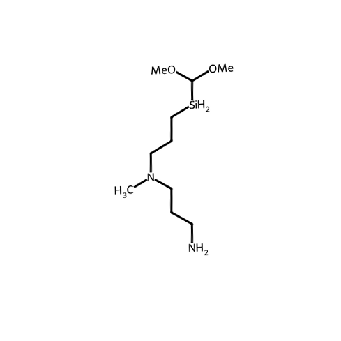 COC(OC)[SiH2]CCCN(C)CCCN